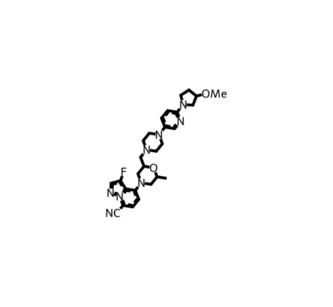 COC1CCN(c2ccc(N3CCN(CC4CN(c5ccc(C#N)n6ncc(F)c56)CC(C)O4)CC3)cn2)C1